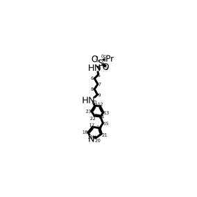 CC(C)S(=O)(=O)NCCCCCNc1ccc(Cc2ccncc2)cc1